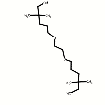 CC(C)(CO)CCCOCCOCCCC(C)(C)CO